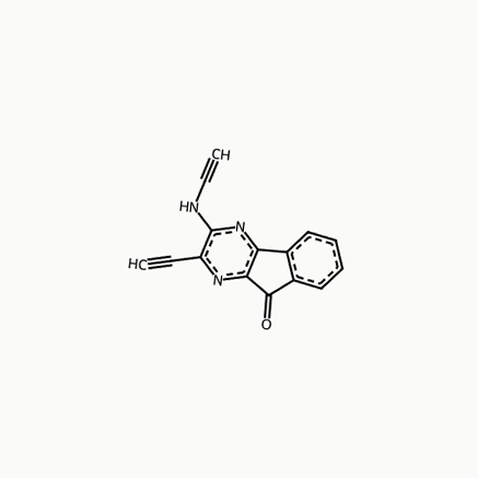 C#CNc1nc2c(nc1C#C)C(=O)c1ccccc1-2